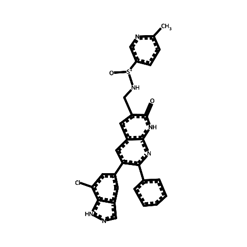 Cc1ccc([S+]([O-])NCc2cc3cc(-c4cc(Cl)c5[nH]ncc5c4)c(-c4ccccc4)nc3[nH]c2=O)cn1